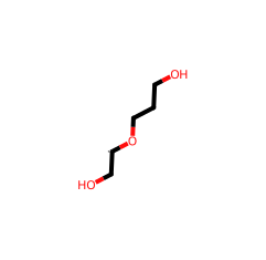 OC[CH]OCCCO